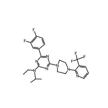 CCN(c1nc(-c2ccc(F)c(F)c2)nc(N2CCN(c3ncccc3C(F)(F)F)CC2)n1)C(C)C